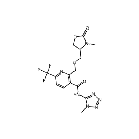 CN1C(=O)OCC1COCc1nc(C(F)(F)F)ccc1C(=O)Nc1nnnn1C